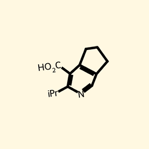 CC(C)c1ncc2c(c1C(=O)O)CCC2